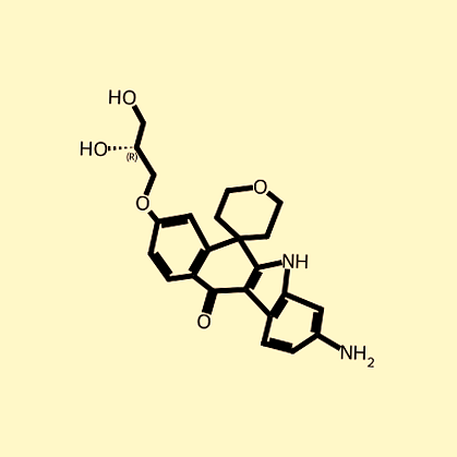 Nc1ccc2c3c([nH]c2c1)C1(CCOCC1)c1cc(OC[C@H](O)CO)ccc1C3=O